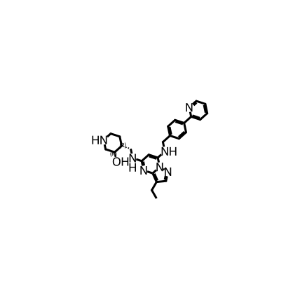 CCc1cnn2c(NCc3ccc(-c4ccccn4)cc3)cc(NC[C@H]3CCNC[C@@H]3O)nc12